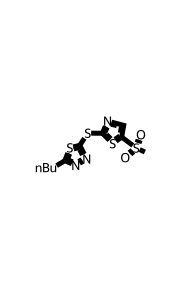 CCCCc1nnc(Sc2ncc(S(C)(=O)=O)s2)s1